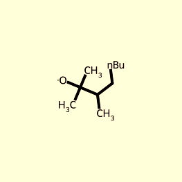 CCCCCC(C)C(C)(C)[O]